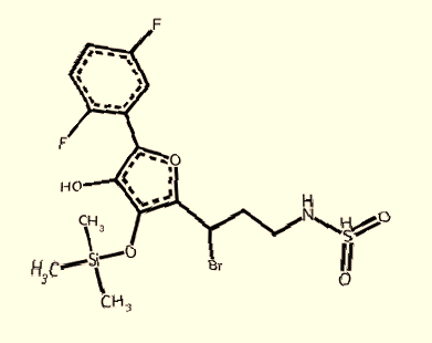 C[Si](C)(C)Oc1c(C(Br)CCN[SH](=O)=O)oc(-c2cc(F)ccc2F)c1O